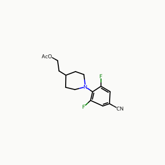 CC(=O)OCCC1CCN(c2c(F)cc(C#N)cc2F)CC1